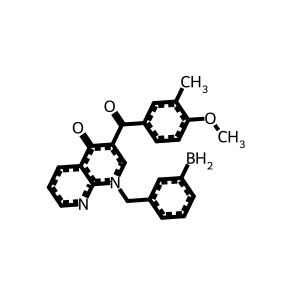 Bc1cccc(Cn2cc(C(=O)c3ccc(OC)c(C)c3)c(=O)c3cccnc32)c1